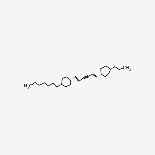 CCCCCCC[C@H]1CC[C@H](/C=C/C#C/C=C/[C@H]2CC[C@H](CCC)CC2)CC1